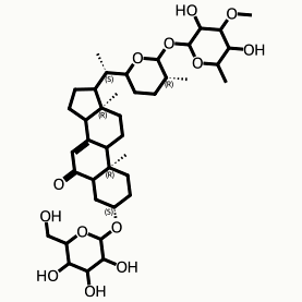 COC1C(O)C(C)OC(OC2OC([C@@H](C)C3CCC4C5=CC(=O)C6C[C@@H](OC7OC(CO)C(O)C(O)C7O)CC[C@]6(C)C5CC[C@@]43C)CC[C@H]2C)C1O